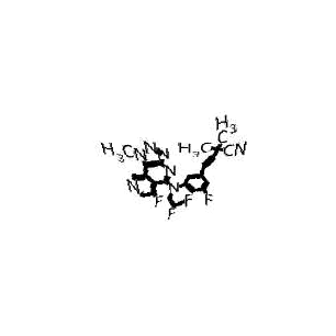 Cn1nnc2nc(N(CC(F)F)c3cc(F)cc(C#CC(C)(C)C#N)c3)c3c(F)cncc3c21